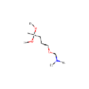 CCO[Si](C)(CCCOCN(CC)CC)OCC